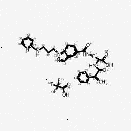 C=C(C(=O)NC(CNC(=O)c1ccc2c(cnn2CCCNc2ccccn2)c1)C(=O)O)c1ccccc1.O=C(O)C(F)(F)F